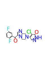 O=C(c1cc(F)ccc1F)c1cnc2n1CCN(c1cn[nH]c(=O)c1Cl)C2